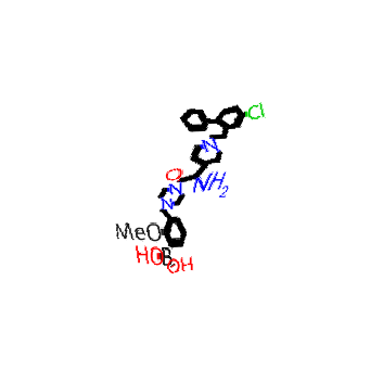 COc1c(CN2CCN(C(=O)[C@H](N)C3CCN(CCc4cc(Cl)ccc4-c4ccccc4)CC3)CC2)cccc1B(O)O